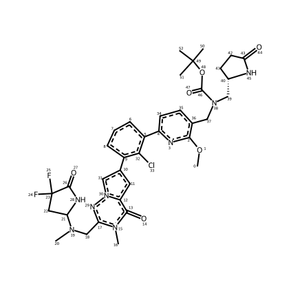 COc1nc(-c2cccc(-c3cc4c(=O)n(C)c(CN(C)C5CC(F)(F)C(=O)N5)nn4c3)c2Cl)ccc1CN(C[C@@H]1CCC(=O)N1)C(=O)OC(C)(C)C